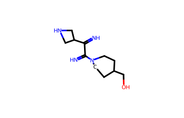 N=C(C(=N)N1CCC(CO)CC1)C1CNC1